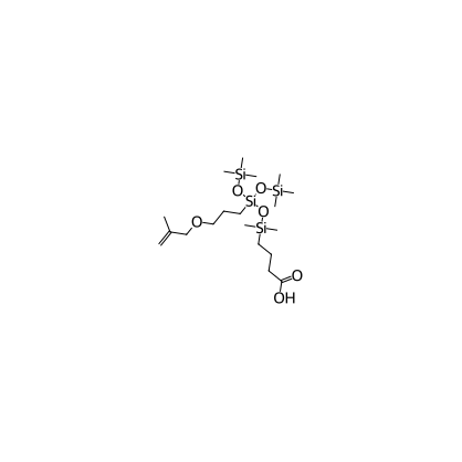 C=C(C)COCCC[Si](O[Si](C)(C)C)(O[Si](C)(C)C)O[Si](C)(C)CCCC(=O)O